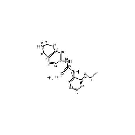 CCOc1ccccc1NC(=O)Nc1ccc2c(c1)CCNC2.Cl